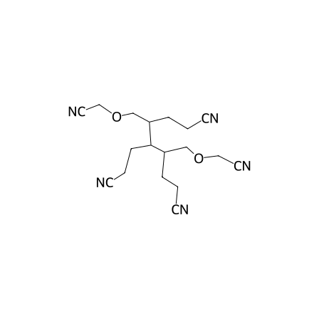 N#CCCC(COCC#N)C(CCC#N)C(CCC#N)COCC#N